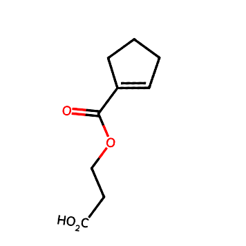 O=C(O)CCOC(=O)C1=CCCC1